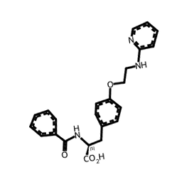 O=C(N[C@@H](Cc1ccc(OCCNc2ccccn2)cc1)C(=O)O)c1ccccc1